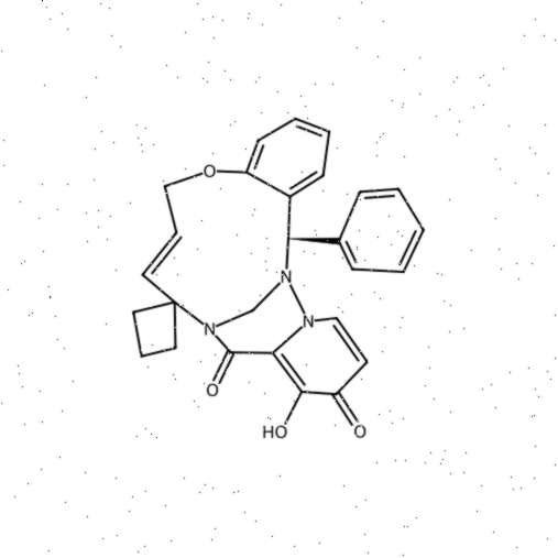 O=C1c2c(O)c(=O)ccn2N2CN1C1(/C=C/COc3ccccc3[C@H]2c2ccccc2)CCC1